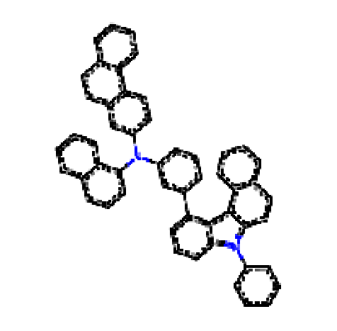 c1ccc(-n2c3cccc(-c4cccc(N(c5ccc6c(ccc7ccccc76)c5)c5cccc6ccccc56)c4)c3c3c4ccccc4ccc32)cc1